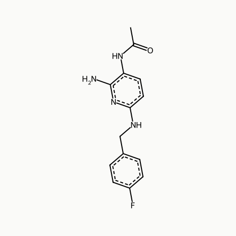 CC(=O)Nc1ccc(NCc2ccc(F)cc2)nc1N